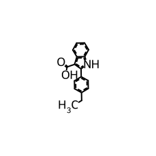 CCc1ccc(-c2[nH]c3ccccc3c2C(=O)O)cc1